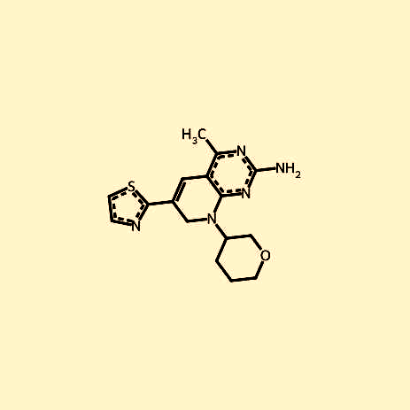 Cc1nc(N)nc2c1C=C(c1nccs1)CN2C1CCCOC1